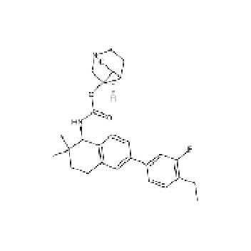 CCc1ccc(-c2ccc3c(c2)CCC(C)(C)[C@H]3NC(=O)O[C@H]2CN3CCC2CC3)cc1F